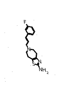 Nc1nc2c(s1)CCN(CC=Cc1cccc(F)c1)CC2